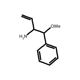 C=CC(N)C(OC)c1ccccc1